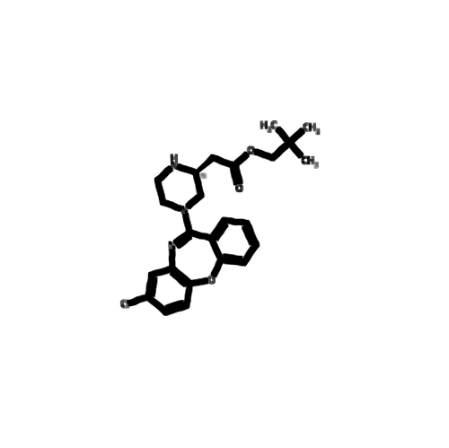 CC(C)(C)COC(=O)C[C@H]1CN(C2=Nc3cc(Cl)ccc3Oc3ccccc32)CCN1